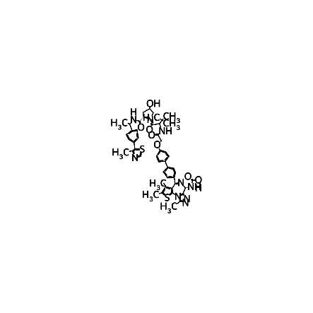 Cc1ncsc1-c1ccc(C(C)NC(=O)[C@@H]2C[C@@H](O)CN2C(=O)C(NC(=O)COc2ccc(-c3ccc(C4=N[C@H](NC(=O)O)c5nnc(C)n5-c5sc(C)c(C)c54)cc3)cc2)C(C)(C)C)cc1